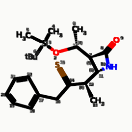 C[C@@H](O[Si](C)(C)C(C)(C)C)[C@H]1C(=O)N[C@@H]1[C@@H](C)C(=S)Cc1ccccc1